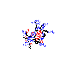 CC[C@H](C)[C@H](NC(=O)CNC(=O)[C@@H](N)CC(C)C)C(=O)N[C@@H](CCC(N)=O)C(=O)N[C@@H](Cc1c[nH]c2ccccc12)C(=O)N[C@@H](CCCNC(=N)N)C(=O)N[C@@H](Cc1c[nH]cn1)C(=O)N[C@@H](CCCCN)C(=O)N1CCC[C@H]1C(=O)N[C@@H](CC(N)=O)C(=O)O